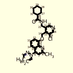 C=CN(/N=C\C)c1cc(C)nc2c(OCc3c(Cl)cncc3CNC(=O)C3CCCCC3)cccc12